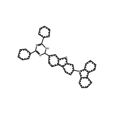 c1ccc(C2=NC(c3ccc4c(c3)sc3cc(-n5c6ccccc6c6ccccc65)ccc34)NC(c3ccccc3)=N2)cc1